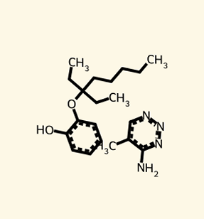 CCCCCC(CC)(CC)Oc1ccccc1O.Cc1cnnnc1N